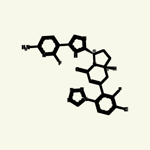 Nc1ccc(-c2cnc([C@@H]3CC[C@@H]4CC(c5c(-n6cnnn6)ccc(Cl)c5F)=CC(=O)N43)[nH]2)c(F)n1